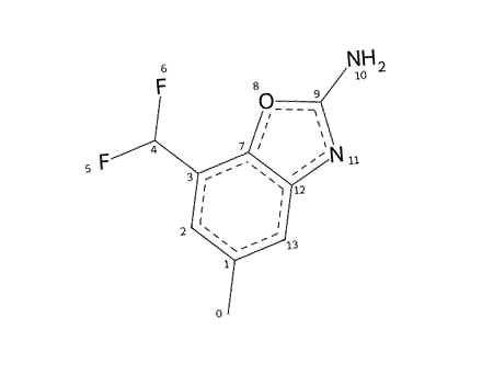 Cc1cc(C(F)F)c2oc(N)nc2c1